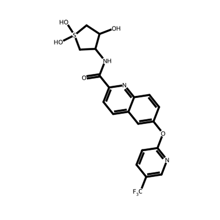 O=C(NC1CS(O)(O)CC1O)c1ccc2cc(Oc3ccc(C(F)(F)F)cn3)ccc2n1